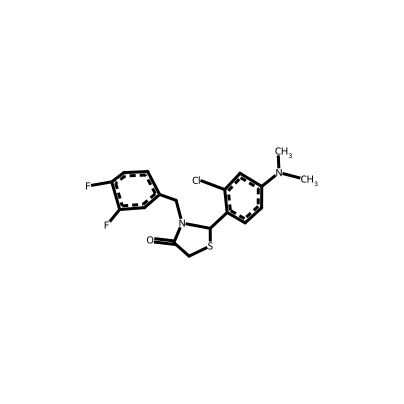 CN(C)c1ccc(C2SCC(=O)N2Cc2ccc(F)c(F)c2)c(Cl)c1